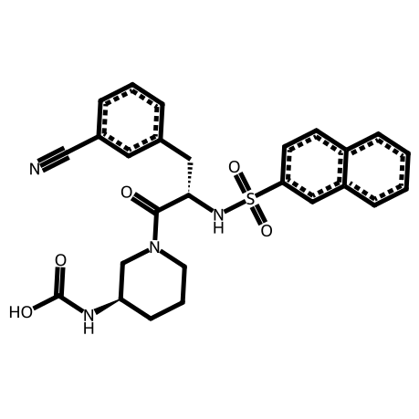 N#Cc1cccc(C[C@H](NS(=O)(=O)c2ccc3ccccc3c2)C(=O)N2CCC[C@@H](NC(=O)O)C2)c1